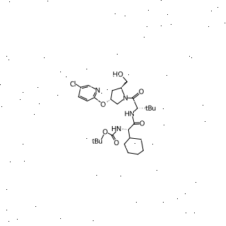 CC(C)(C)OC(=O)N[C@H](C(=O)N[C@H](C(=O)N1C[C@H](Oc2ccc(Cl)cn2)C[C@H]1CO)C(C)(C)C)C1CCCCC1